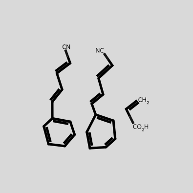 C=CC(=O)O.N#CC=CC=Cc1ccccc1.N#CC=CC=Cc1ccccc1